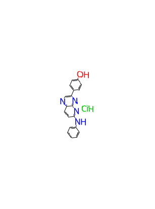 Cl.Oc1ccc(-c2cnc3ccc(Nc4ccccc4)nc3n2)cc1